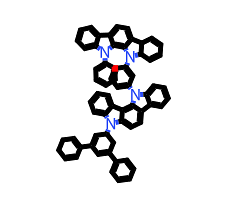 C1=CC2c3ccc4c5ccccc5n(-c5ccccc5)c4c3N(c3cccc(-n4c5ccccc5c5ccc6c(c7ccccc7n6C6C=C(C7=CCCC=C7)C=C(c7ccccc7)C6)c54)c3)C2C=C1